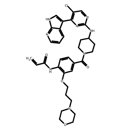 C=CC(=O)Nc1ccc(C(=O)N2CCC(Nc3ncc(Cl)c(-c4c[nH]c5ncccc45)n3)CC2)cc1OCCCN1CCOCC1